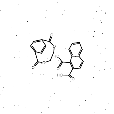 O=C(O)c1ccc2ccccc2c1C(=O)O.O=C1OCCOC(=O)c2ccc1cc2